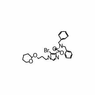 O=S(=O)(c1ncn(CCCOC2CCCCO2)c1Br)N(Cc1ccccc1)Cc1ccccc1